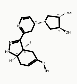 CO[C@H]1CN([C@H]2C=CN=C(C3=NN[C@@H]4CC=C(OC(C)C)C[C@H]34)C2)C[C@@H]1O